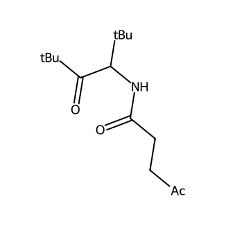 CC(=O)CCC(=O)NC(C(=O)C(C)(C)C)C(C)(C)C